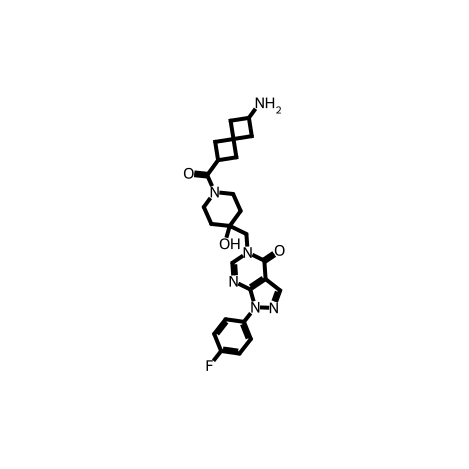 NC1CC2(C1)CC(C(=O)N1CCC(O)(Cn3cnc4c(cnn4-c4ccc(F)cc4)c3=O)CC1)C2